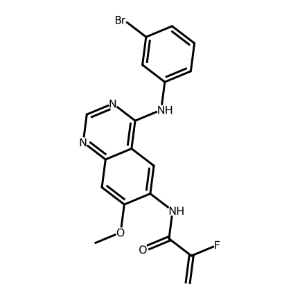 C=C(F)C(=O)Nc1cc2c(Nc3cccc(Br)c3)ncnc2cc1OC